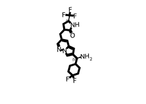 N[C@H](c1cc2cc(CC3C[C@@H](C(F)(F)F)NC3=O)cnn2c1)C1CCC(F)(F)CC1